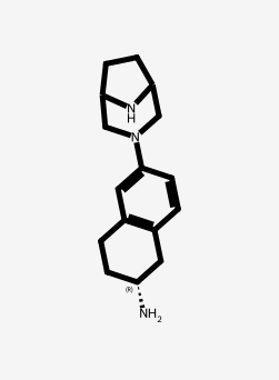 N[C@@H]1CCc2cc(N3CC4CCC(C3)N4)ccc2C1